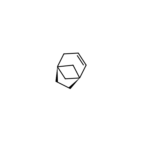 C1=C[C@]23CC[C@](C1)(C2)C3